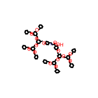 O=C(/C=C/c1ccc(OCc2cc(OCc3cc(OCc4ccccc4)cc(OCc4ccccc4)c3)cc(OCc3cc(OCc4ccccc4)cc(OCc4ccccc4)c3)c2)cc1)c1ccc(OCc2cc(OCc3cc(OCc4ccccc4)cc(OCc4ccccc4)c3)cc(OCc3cc(OCc4ccccc4)cc(OCc4ccccc4)c3)c2)cc1O